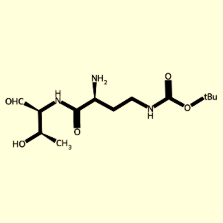 C[C@@H](O)[C@@H](C=O)NC(=O)[C@@H](N)CCNC(=O)OC(C)(C)C